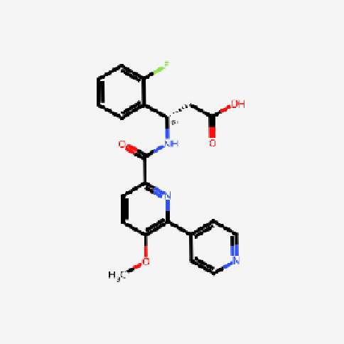 COc1ccc(C(=O)N[C@@H](CC(=O)O)c2ccccc2F)nc1-c1ccncc1